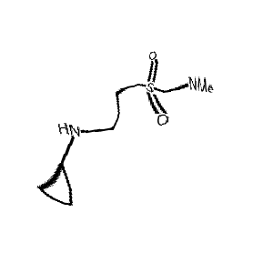 CNS(=O)(=O)CCNC1CC1